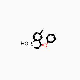 C=CC(Oc1ccccc1)c1cc(C)ccc1S(=O)(=O)O